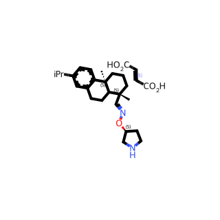 CC(C)c1ccc2c(c1)CCC1[C@@](C)(C=NO[C@H]3CCNC3)CCC[C@]21C.O=C(O)/C=C/C(=O)O